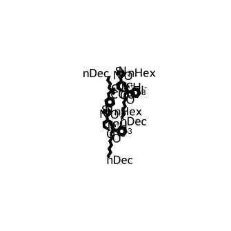 CCCCCCCCCCCCCCC(Cl)(Cc1ccccc1)C(=O)[O-].CCCCCCCCCCCCCCCC(=O)OC(c1ccccc1)[N+]1(C)CCC=C(c2nsnc2OCCCCCC)C1.CCCCCCCCCCCCCCCC(=O)OC(c1ccccc1)[N+]1(C)CCC=C(c2nsnc2OCCCCCC)C1.[I-]